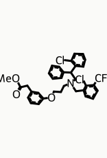 COC(=O)Cc1cccc(OCCCN(Cc2cccc(C(F)(F)F)c2Cl)CC(c2ccccc2)c2ccccc2Cl)c1